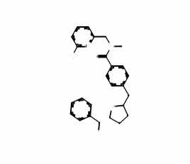 CN(Cc1cccc(N)n1)C(=O)c1ccc(CC2CC[C@H](C(O)c3ccccc3)N2)cc1